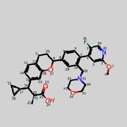 COc1cc(-c2ccc(C3CCc4ccc(C(C5CC5)[C@H](C)C(=O)O)cc4O3)cc2CN2CCOCC2)c(F)cn1